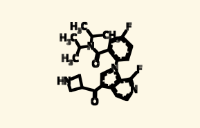 CC(C)N(C(=O)c1cc(F)ccc1-n1cc(C(=O)C2CNC2)c2ccnc(F)c21)C(C)C